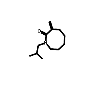 C=C1CCCCCN(CC(C)C)C1=O